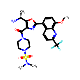 COc1ccc(-c2nc(C(=O)N3CCN(S(=O)(=O)N(C)C)CC3)c([C@H](C)N)o2)c2ccc(C(F)(F)F)nc12